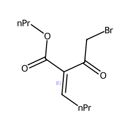 CCC/C=C(\C(=O)CBr)C(=O)OCCC